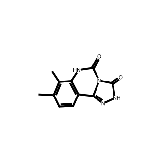 Cc1ccc2c([nH]c(=O)n3c(=O)[nH]nc23)c1C